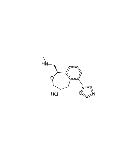 CNC[C@@H]1OCCCc2c(-c3cnco3)cccc21.Cl